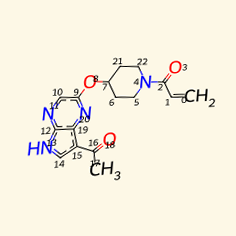 C=CC(=O)N1CCC(Oc2cnc3[nH]cc(C(C)=O)c3n2)CC1